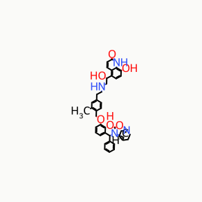 Cc1cc(CCNC[C@H](O)c2ccc(O)c3[nH]c(=O)ccc23)ccc1COc1cccc([C@H](c2ccccc2)N(C(=O)O)[C@H]2CN3CCC2CC3)c1